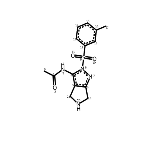 CC(=O)Nc1c2c(nn1S(=O)(=O)c1cccc(C)c1)CNC2